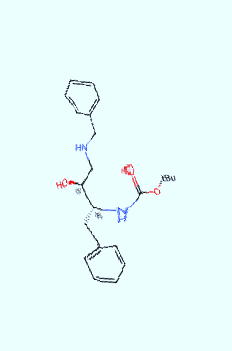 CC(C)(C)OC(=O)N[C@H](Cc1ccccc1)[C@@H](O)CNCc1ccccc1